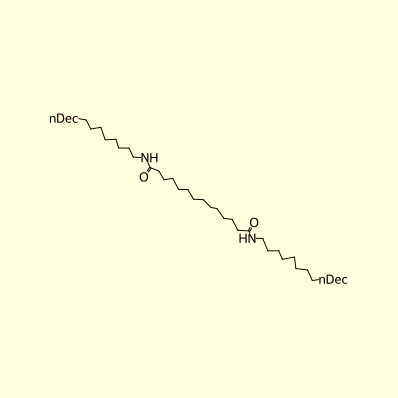 CCCCCCCCCCCCCCCCCCNC(=O)CCCCCCCCCCCCC(=O)NCCCCCCCCCCCCCCCCCC